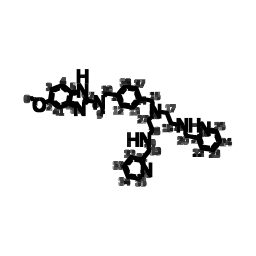 COc1ccc2[nH]c(N(C)Cc3ccc(CN(CCNCc4ccccn4)CCNCc4ccccn4)cc3)nc2c1